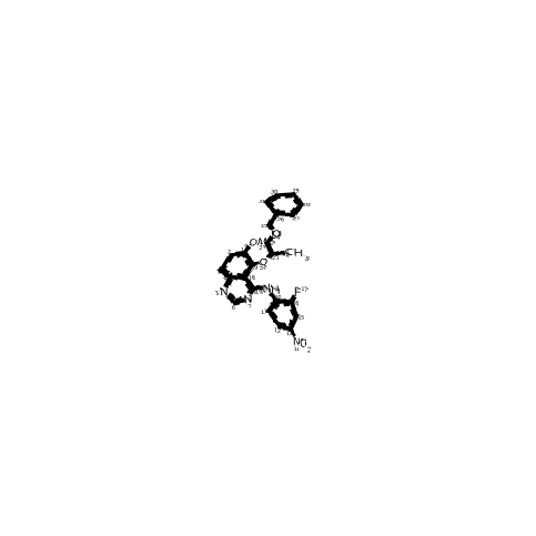 COc1ccc2ncnc(Nc3ccc([N+](=O)[O-])cc3F)c2c1OC(C)COCc1ccccc1